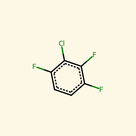 Fc1ccc(F)c(Cl)c1F